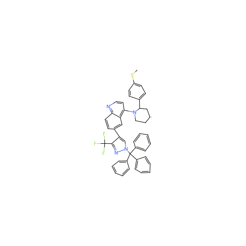 CSc1ccc(C2C[CH]CCN2c2ccnc3ccc(-c4cn(C(c5ccccc5)(c5ccccc5)c5ccccc5)nc4C(F)(F)F)cc23)cc1